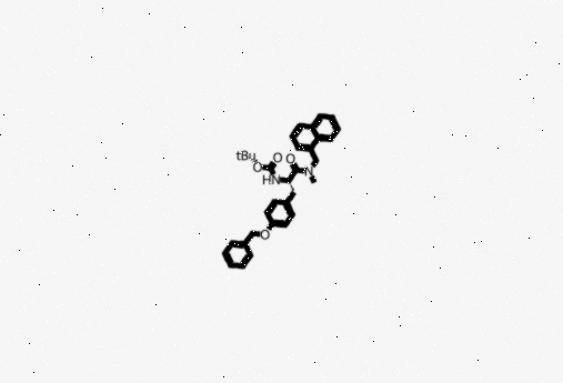 CN(Cc1cccc2ccccc12)C(=O)[C@H](Cc1ccc(OCc2ccccc2)cc1)NC(=O)OC(C)(C)C